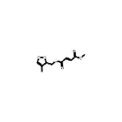 COC(=O)/C=C/C(=O)OCC1OOC=C1C